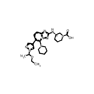 CCOC(C)n1cc(-c2ccc3nc(N[C@@H]4CCCN(C(=O)O)C4)nn3c2N2CCCCC2)cn1